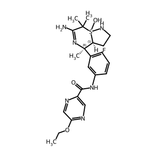 CCOc1cnc(C(=O)Nc2ccc(F)c([C@@]3(C)N=C(N)C(C)(C)S4(O)NCC[C@@H]34)c2)cn1